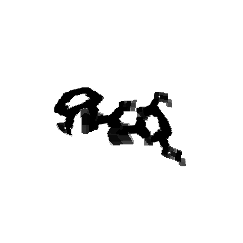 Cc1cc(C)nc(NC(=N)Nc2ccccc2Cl)n1